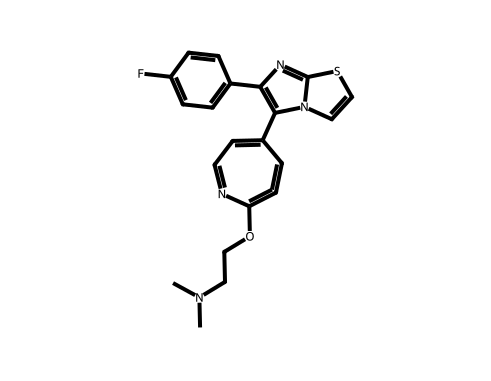 CN(C)CCOC1=C=CC(c2c(-c3ccc(F)cc3)nc3sccn23)=CC=N1